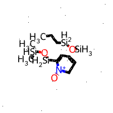 CCC[SiH2]O[SiH3].C[SiH](C)O[SiH2]C1=CC=CC[N+]1=O